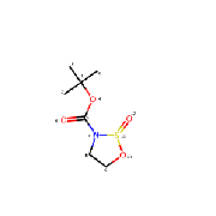 CC(C)(C)OC(=O)N1CCOS1=O